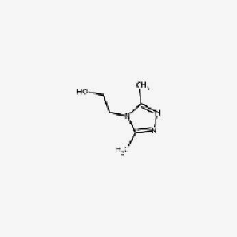 Cc1nnc(C)n1CCO